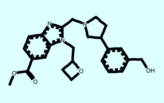 COC(=O)c1ccc2nc(CN3CCC(c4cccc(CO)c4)C3)n(CC3CCO3)c2c1